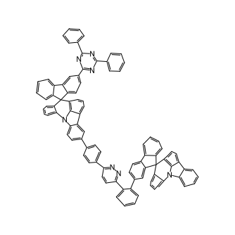 c1ccc(-c2nc(-c3ccccc3)nc(-c3ccc4c(c3)-c3ccccc3C43c4ccccc4-n4c5ccc(-c6ccc(-c7ccc(-c8ccccc8-c8ccc9c(c8)C8(c%10ccccc%10-9)c9ccccc9-n9c%10ccccc%10c%10cccc8c%109)nn7)cc6)cc5c5cccc3c54)n2)cc1